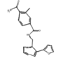 Cc1cc(C(=O)NCc2ccccc2-c2ccco2)ccc1C(N)=O